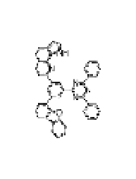 c1ccc(-c2nc(-c3ccccc3)nc(-c3cc(-c4ccc5ccc6cc[nH]c6c5n4)cc(-c4cccc5c4oc4ccccc45)c3)n2)cc1